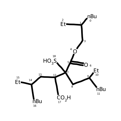 CCCCC(CC)COC(=O)C(CC(CC)CCCC)(C(CC(CC)CCCC)C(=O)O)S(=O)(=O)O